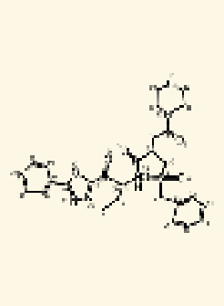 CC[C@H](NC(=O)C(CC(=O)N1CCOCC1)CS(=O)(=O)Cc1ccccc1)C(=O)c1nnc(-c2ccncc2)o1